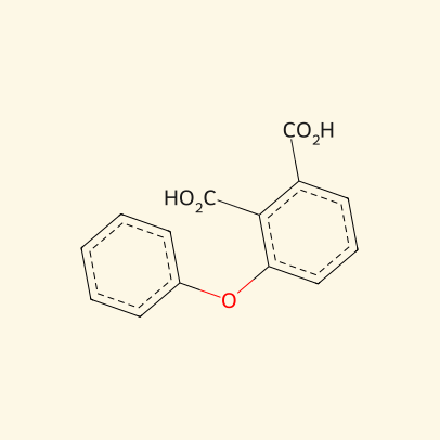 O=C(O)c1cccc(Oc2ccccc2)c1C(=O)O